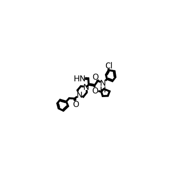 N=C/C(=C(/OC1CCCC1)C(=O)Nc1cccc(Cl)c1)N1CCN(C(=O)Cc2ccccc2)CC1